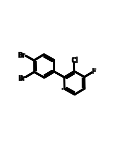 Fc1cc[c]c(-c2ccc(Br)c(Br)c2)c1Cl